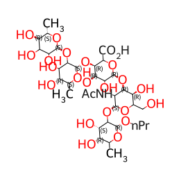 CCCO[C@@H]1OC(C)[C@H](O)[C@H](O)C1O[C@@H]1OC(CO)[C@H](O)[C@H](O[C@@H]2OC(C(=O)O)[C@H](O[C@@H]3O[C@@H](C)[C@H](O)C(O)C3O[C@@H]3O[C@@H](C)[C@H](O)C(O)C3O)[C@H](O)C2O)C1NC(C)=O